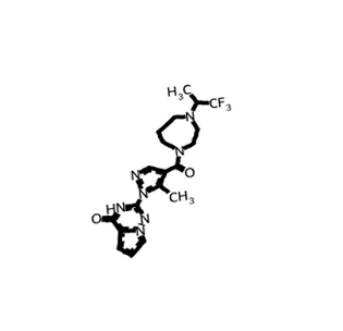 Cc1c(C(=O)N2CCCN(C(C)C(F)(F)F)CC2)cnn1-c1nn2cccc2c(=O)[nH]1